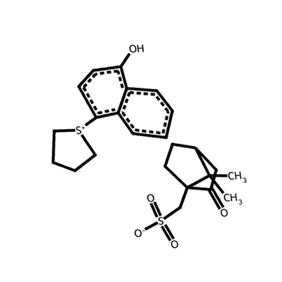 CC1(C)C2CCC1(CS(=O)(=O)[O-])C(=O)C2.Oc1ccc([S+]2CCCC2)c2ccccc12